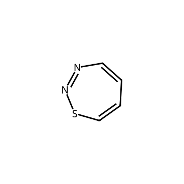 C1=CN=NSC=C1